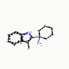 Cc1c(C2(N)CCCCC2)[nH]c2ccccc12